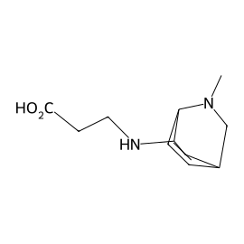 CN1CC2C=CC1C(NCCC(=O)O)C2